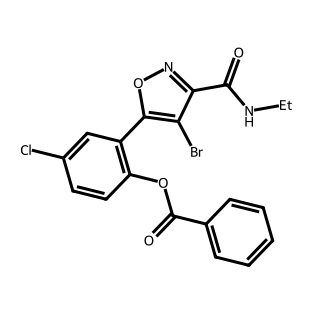 CCNC(=O)c1noc(-c2cc(Cl)ccc2OC(=O)c2ccccc2)c1Br